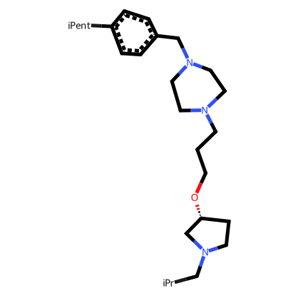 CCCC(C)c1ccc(CN2CCN(CCCO[C@@H]3CCN(CC(C)C)C3)CC2)cc1